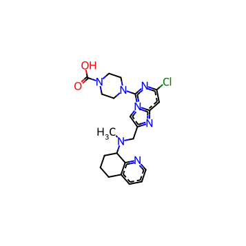 CN(Cc1cn2c(N3CCN(C(=O)O)CC3)nc(Cl)cc2n1)C1CCCc2cccnc21